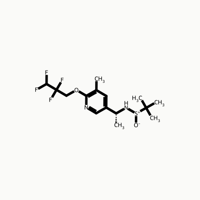 Cc1cc([C@@H](C)N[S+]([O-])C(C)(C)C)cnc1OCC(F)(F)C(F)F